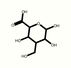 O=C(O)C1OC(O)C(O)C(CO)C1O